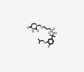 CC(C)COc1cc(C(C)(C)NS(=O)(=O)CCCOCN2CCC(=O)NC2=O)ccc1F